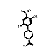 Cc1cc(N2CCN(C(=O)O)CC2)c(Br)cc1[N+](=O)[O-]